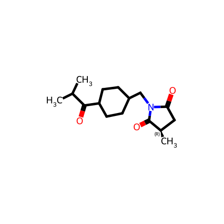 CC(C)C(=O)C1CCC(CN2C(=O)C[C@@H](C)C2=O)CC1